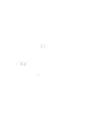 CC1CCC(OC=O)C(C(C)C)C1